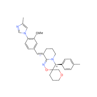 COc1cc(/C=C2\CCCN3C2=NOC2(CCCOC2)[C@@H]3c2ccc(C)cc2)ccc1-n1cnc(C)c1